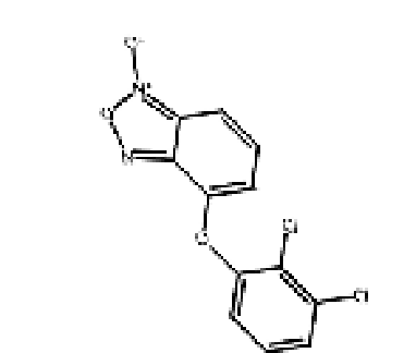 [O-][n+]1onc2c(Oc3cccc(Cl)c3Cl)[c]ccc21